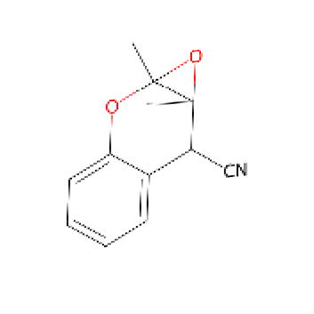 CC12Oc3ccccc3C(C#N)C1(C)O2